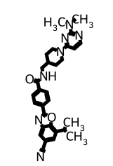 CC(C)c1cc(C#N)cc2nc(-c3ccc(C(=O)NCC4CCN(c5ccnc(N(C)C)n5)CC4)cc3)oc12